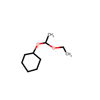 CCOC(C)OC1CCCCC1